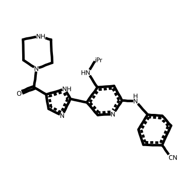 CC(C)Nc1cc(Nc2ccc(C#N)cc2)ncc1-c1ncc(C(=O)N2CCNCC2)[nH]1